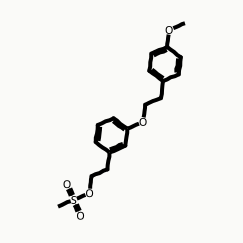 COc1ccc(CCOc2cccc(CCOS(C)(=O)=O)c2)cc1